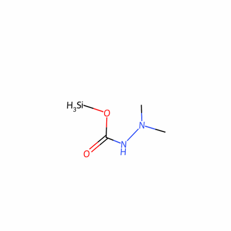 CN(C)NC(=O)O[SiH3]